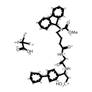 COC(=O)N(CCCC(=O)NCC(=O)NC(CC(=O)O)c1ccc(-c2ccccc2)cc1)C1c2ccccc2-c2ccccc21.O=C(O)C(F)(F)F